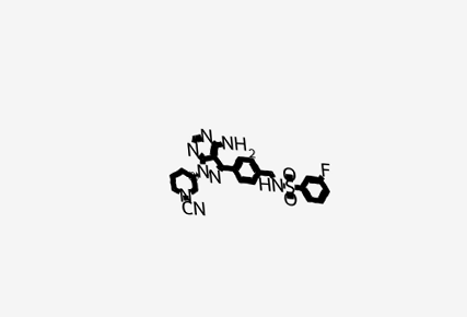 N#CN1CCC[C@@H](n2nc(-c3ccc(CNS(=O)(=O)c4cccc(F)c4)cc3)c3c(N)ncnc32)C1